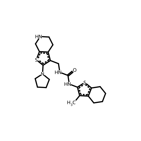 Cc1c(NC(=O)NCc2c(N3CCCC3)sc3c2CCNC3)sc2c1CCCC2